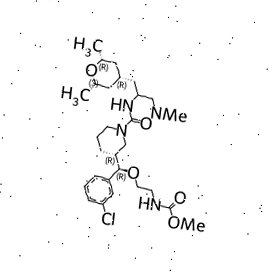 CNCC(C[C@H]1C[C@@H](C)O[C@@H](C)C1)NC(=O)N1CCC[C@@H]([C@@H](OCCNC(=O)OC)c2cccc(Cl)c2)C1